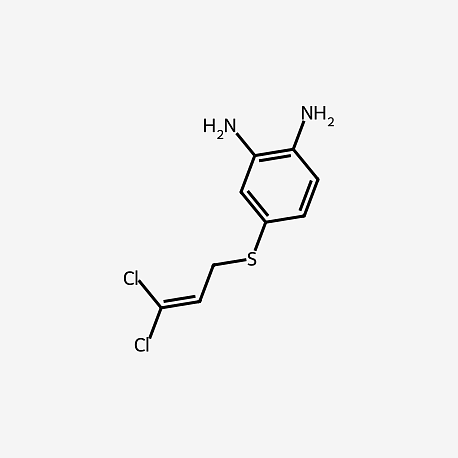 Nc1ccc(SCC=C(Cl)Cl)cc1N